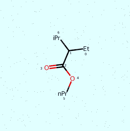 [CH2]CC(C(=O)OCCC)C(C)C